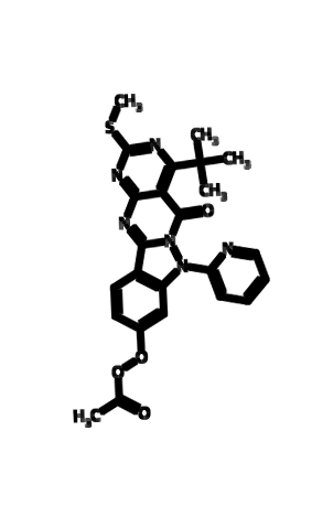 CSc1nc(C(C)(C)C)c2c(=O)n3c(nc2n1)c1ccc(OOC(C)=O)cc1n3-c1ccccn1